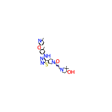 Cc1ccc(Oc2ccc(Nc3ncnc4sc5c(c34)CCN(C(=O)/C=C/CN3CCC(O)C(C)(C)C3)C5)cc2C)cn1